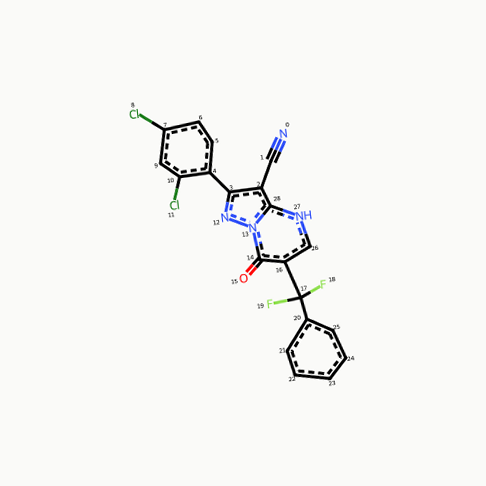 N#Cc1c(-c2ccc(Cl)cc2Cl)nn2c(=O)c(C(F)(F)c3ccccc3)c[nH]c12